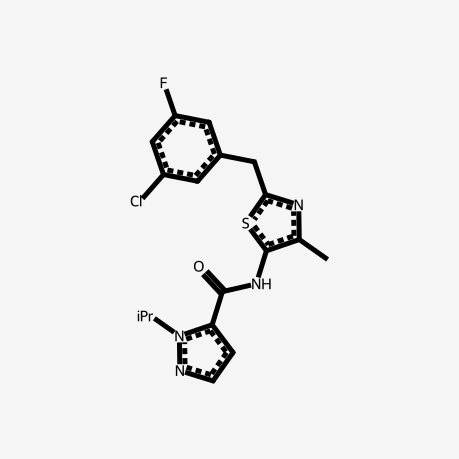 Cc1nc(Cc2cc(F)cc(Cl)c2)sc1NC(=O)c1ccnn1C(C)C